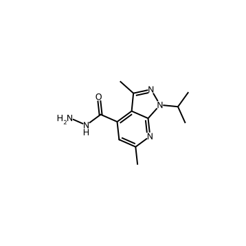 Cc1cc(C(=O)NN)c2c(C)nn(C(C)C)c2n1